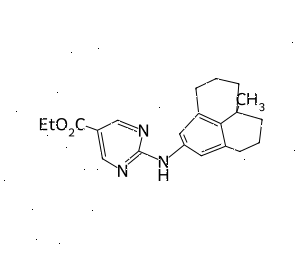 CCOC(=O)c1cnc(Nc2cc3c4c(c2)CCCC4(C)CCC3)nc1